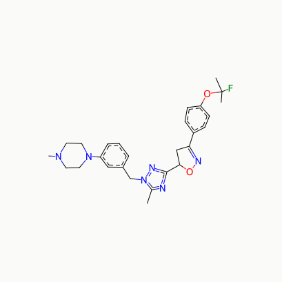 Cc1nc(C2CC(c3ccc(OC(C)(C)F)cc3)=NO2)nn1Cc1cccc(N2CCN(C)CC2)c1